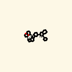 c1ccc(-c2nc(-c3ccc4c(c3)c3ccc5ccn(-c6ccccc6)c5c3n4-c3ccccc3)cc3ccccc23)cc1